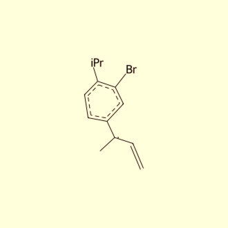 C=C[C](C)c1ccc(C(C)C)c(Br)c1